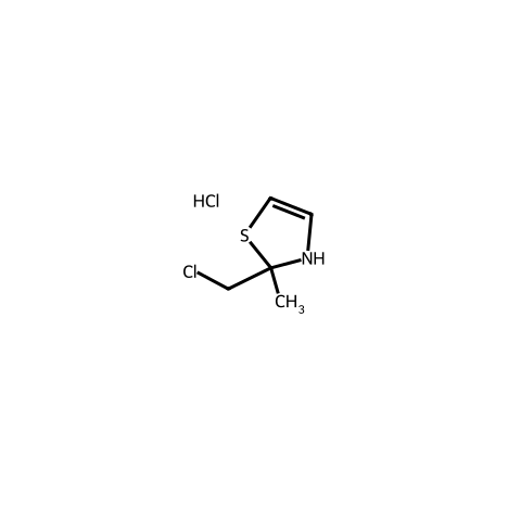 CC1(CCl)NC=CS1.Cl